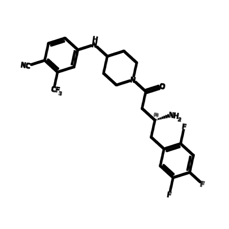 N#Cc1ccc(NC2CCN(C(=O)C[C@H](N)Cc3cc(F)c(F)cc3F)CC2)cc1C(F)(F)F